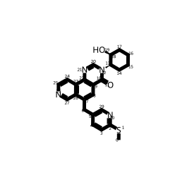 CSc1ccc(Cc2cc3c(=O)n([C@H]4CCCC[C@@H]4O)cnc3c3ccncc23)cn1